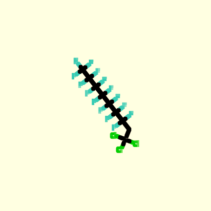 FC(F)(F)C(F)(F)C(F)(F)C(F)(F)C(F)(F)C(F)(F)C(F)(F)C[Si](Cl)(Cl)Cl